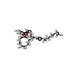 CCCC1NC(=O)CNC(=O)[C@H]2Cc3c([nH]c4ccccc34)SC(NC(=O)CNC1=O)C(=O)N[C@@H](CC(=O)NCc1ccc(NC(=O)[C@H](C)NC(=O)CNC(=O)CCN3C(=O)CC(S)C3=O)cc1)C(=O)N1CCC[C@H]1C(=O)NC(C[C@@H](O)CO)C(=O)N2